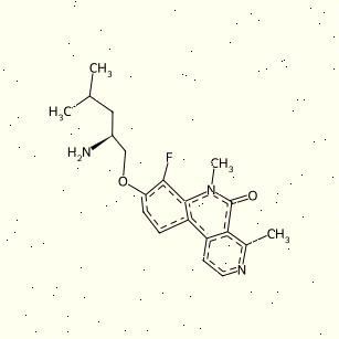 Cc1nccc2c1c(=O)n(C)c1c(F)c(OC[C@@H](N)CC(C)C)ccc21